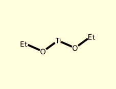 CC[O][Ti][O]CC